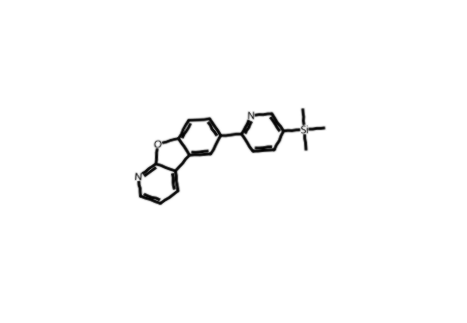 C[Si](C)(C)c1ccc(-c2ccc3oc4ncccc4c3c2)nc1